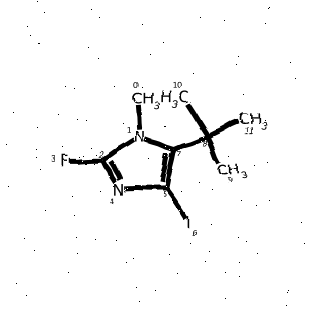 Cn1c(F)nc(I)c1C(C)(C)C